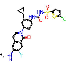 CNc1cc2ccn(-c3ccc(NC(=O)NS(=O)(=O)c4ccc(Cl)s4)c(C4CC4)c3)c(=O)c2cc1F